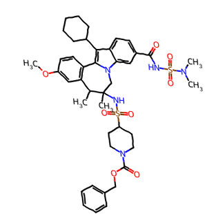 COc1ccc2c(c1)C(C)C(C)(NS(=O)(=O)C1CCN(C(=O)OCc3ccccc3)CC1)Cn1c-2c(C2CCCCC2)c2ccc(C(=O)NS(=O)(=O)N(C)C)cc21